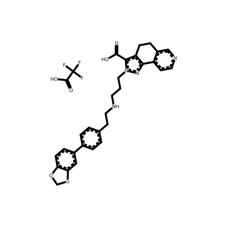 O=C(O)C(F)(F)F.O=C(O)c1c2c(nn1CCCNCCc1ccc(-c3ccc4c(c3)OCO4)cc1)-c1ccncc1CC2